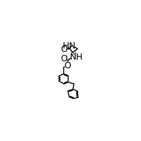 O=C(N[C@H]1CNC1=O)OCc1cccc(Cc2ccccc2)c1